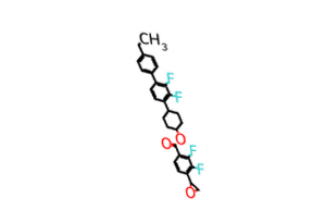 CCc1ccc(-c2ccc(C3CCC(OC(=O)c4ccc(C5CO5)c(F)c4F)CC3)c(F)c2F)cc1